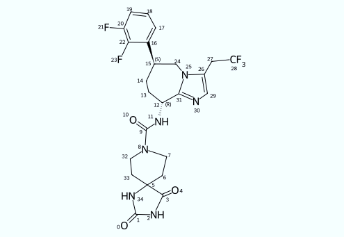 O=C1NC(=O)C2(CCN(C(=O)N[C@@H]3CC[C@@H](c4cccc(F)c4F)Cn4c(CC(F)(F)F)cnc43)CC2)N1